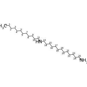 CCCCCCCCCCCCNCCCCCCCCCCCCCN